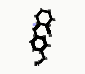 CC(C)Sc1ccc(/C=C2/CCCCC2=O)cc1